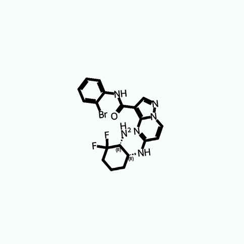 N[C@@H]1[C@H](Nc2ccn3ncc(C(=O)Nc4ccccc4Br)c3n2)CCCC1(F)F